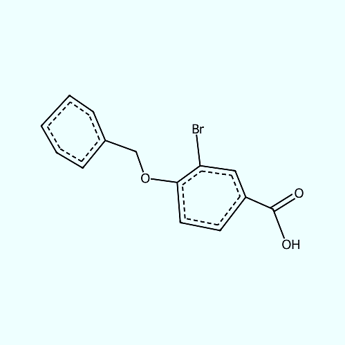 O=C(O)c1ccc(OCc2ccccc2)c(Br)c1